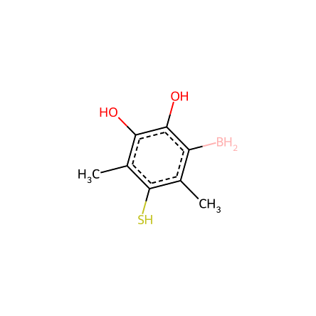 Bc1c(C)c(S)c(C)c(O)c1O